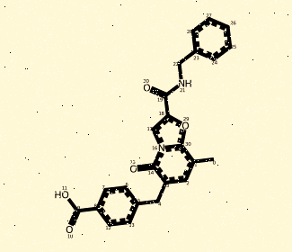 Cc1cc(Cc2ccc(C(=O)O)cc2)c(=O)n2cc(C(=O)NCc3ccccc3)oc12